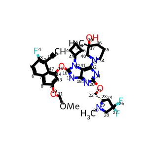 C#Cc1c(F)ccc2cc(OCOC)cc(Oc3nc4nc(OC[C@@H]5CC(F)(F)CN5C)nc(N5CCC[C@@](C)(O)C5)c4n3C3CCC3)c12